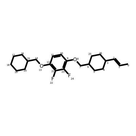 C/C=C/C1CCC(COc2ccc(OCC3CCCCC3)c(F)c2F)CC1